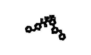 N=C(C(=O)Nc1ccc(Cc2ccccc2)nc1)c1cc(-c2cncc(Oc3ccccc3)c2)ccc1N